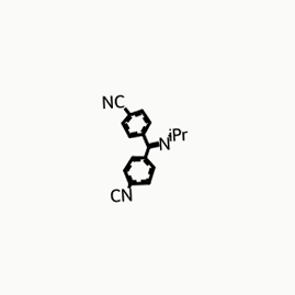 [C-]#[N+]c1ccc(/C(=N/C(C)C)c2ccc(C#N)cc2)cc1